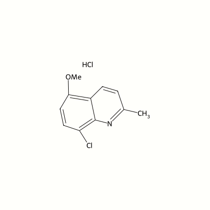 COc1ccc(Cl)c2nc(C)ccc12.Cl